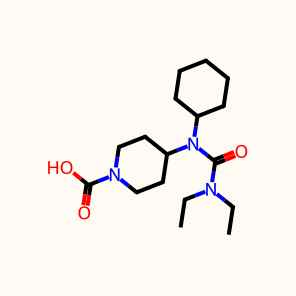 CCN(CC)C(=O)N(C1CCCCC1)C1CCN(C(=O)O)CC1